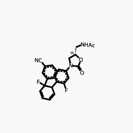 CC(=O)NC[C@H]1CN(c2ccc(C3C=CC=CC3(F)c3cccc(C#N)c3)c(F)c2)C(=O)O1